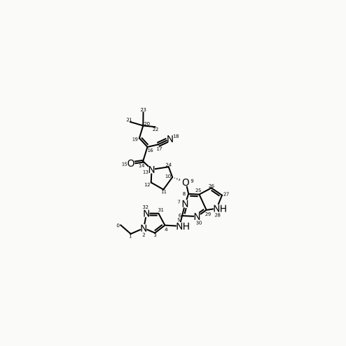 CCn1cc(Nc2nc(O[C@@H]3CCN(C(=O)/C(C#N)=C/C(C)(C)C)C3)c3cc[nH]c3n2)cn1